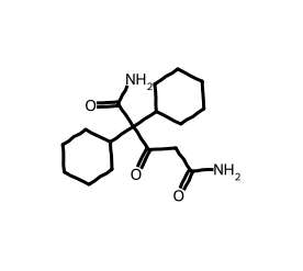 NC(=O)CC(=O)C(C(N)=O)(C1CCCCC1)C1CCCCC1